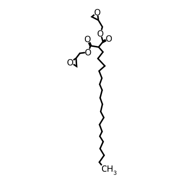 CCCCCCCCCCCCCCCCCCCC(C(=O)OCC1CO1)C(=O)OCC1CO1